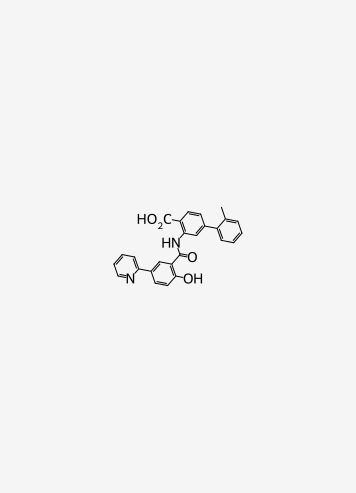 Cc1ccccc1-c1ccc(C(=O)O)c(NC(=O)c2cc(-c3ccccn3)ccc2O)c1